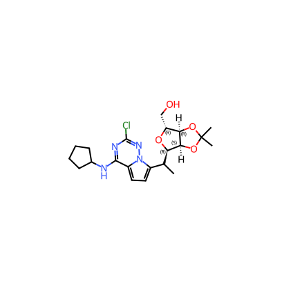 CC(c1ccc2c(NC3CCCC3)nc(Cl)nn12)[C@H]1O[C@H](CO)[C@H]2OC(C)(C)O[C@H]21